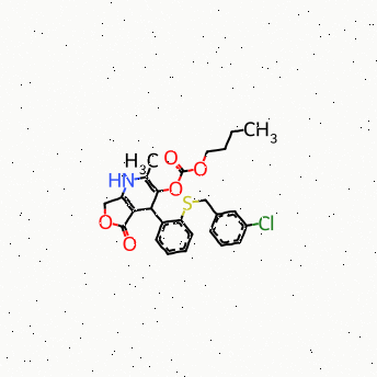 CCCCOC(=O)OC1=C(C)NC2=C(C(=O)OC2)C1c1ccccc1SCc1cccc(Cl)c1